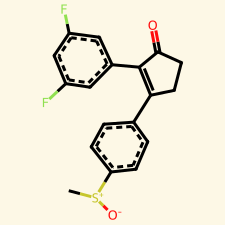 C[S+]([O-])c1ccc(C2=C(c3cc(F)cc(F)c3)C(=O)CC2)cc1